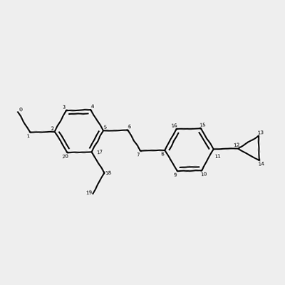 CCc1ccc(CCc2ccc(C3CC3)cc2)c(CC)c1